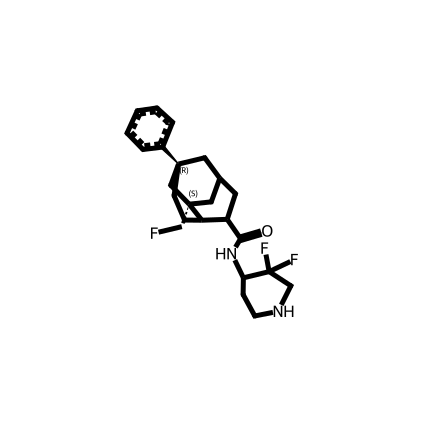 O=C(NC1CCNCC1(F)F)C1CC2C[C@]3(c4ccccc4)CCC1[C@](CF)(C2)C3